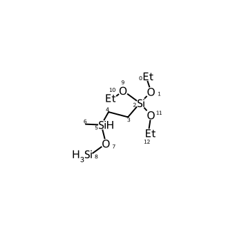 CCO[Si](CC[SiH](C)O[SiH3])(OCC)OCC